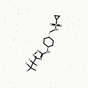 O=S(=O)(NC[C@H]1CC[C@H](Nc2nc(C(F)(F)C(F)(F)F)no2)CC1)C1CC1